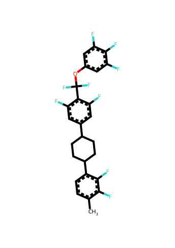 Cc1ccc(C2CCC(c3cc(F)c(C(F)(F)Oc4cc(F)c(F)c(F)c4)c(F)c3)CC2)c(F)c1F